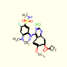 CNS(=O)(=O)c1cc(Nc2ncnc3cc(OC)c(OC)cc23)c(N(C)C)cc1F.Cl